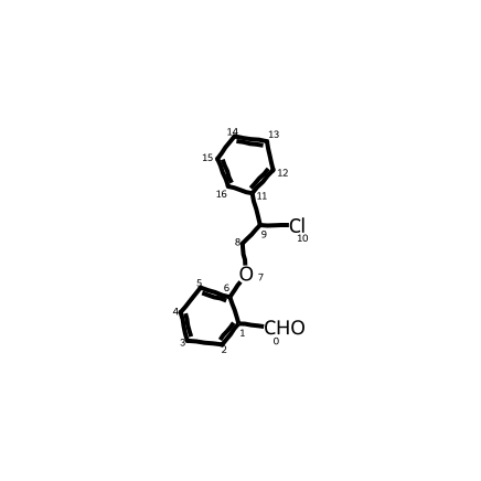 O=Cc1ccccc1OCC(Cl)c1ccccc1